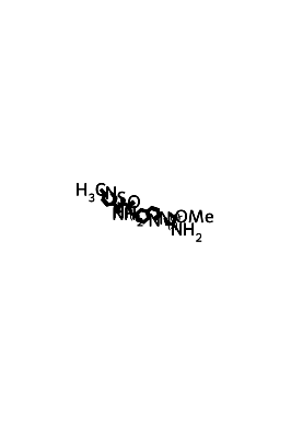 CO[C@H]1CN(c2ccc3c(n2)CC[C@@H](NC(=O)c2sc4nc(C)ccc4c2N)C3)C[C@@H]1N